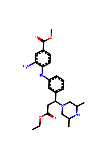 CCOC(=O)CC(c1cccc(Nc2ccc(C(=O)OC)cc2N)c1)N1CC(C)NC(C)C1